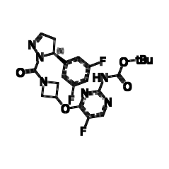 CC(C)(C)OC(=O)Nc1ncc(F)c(OC2CN(C(=O)N3N=CC[C@H]3c3cc(F)cc(F)c3)C2)n1